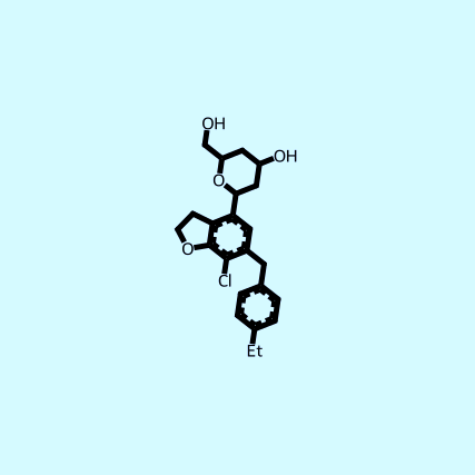 CCc1ccc(Cc2cc(C3CC(O)CC(CO)O3)c3c(c2Cl)OCC3)cc1